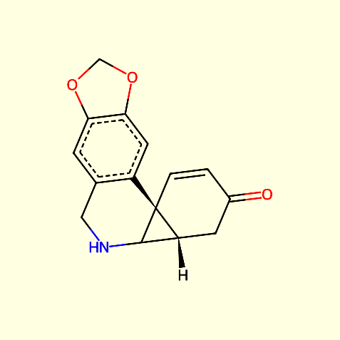 O=C1C=C[C@@]23c4cc5c(cc4CNC2[C@H]3C1)OCO5